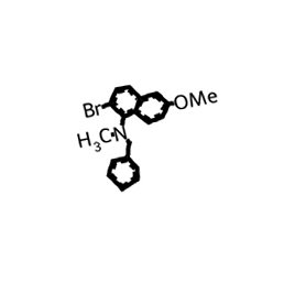 COc1ccc2c(N(C)Cc3ccccc3)c(Br)ccc2c1